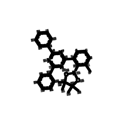 Cc1cccc(-c2nc(-c3ccccc3)nc(-c3ccccc3)n2)c1B1OC(C)(C)C(C)(C)O1